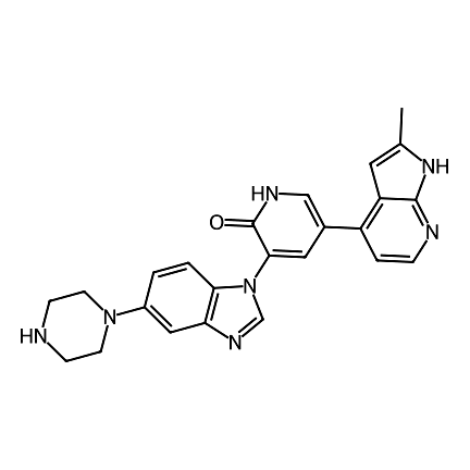 Cc1cc2c(-c3c[nH]c(=O)c(-n4cnc5cc(N6CCNCC6)ccc54)c3)ccnc2[nH]1